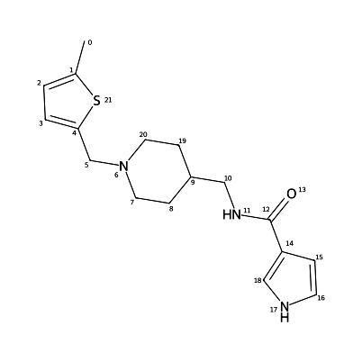 Cc1ccc(CN2CCC(CNC(=O)c3cc[nH]c3)CC2)s1